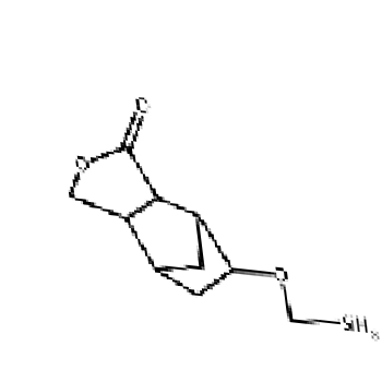 O=C1OCC2C3CC(OC[SiH3])C(C3)C12